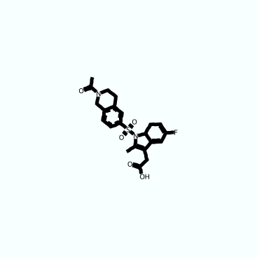 CC(=O)N1CCc2cc(S(=O)(=O)N3C(C)=C(CC(=O)O)C4=CC(F)=CCC43)ccc2C1